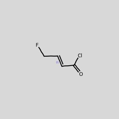 O=C(Cl)/C=C/CF